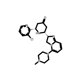 CN1CCN(C2=CC=CC3=NC([C@H]4CC(=O)C[C@@H](c5ncccc5Cl)N4)CN23)CC1